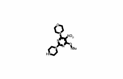 CCCCOc1nc(N2CCNCC2)nc(N2CCOCC2)c1[N+](=O)[O-]